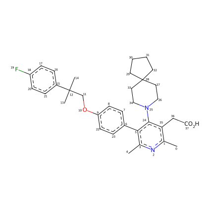 Cc1nc(C)c(-c2ccc(OCC(C)(C)c3ccc(F)cc3)cc2)c(N2CCC3(CCCC3)CC2)c1CC(=O)O